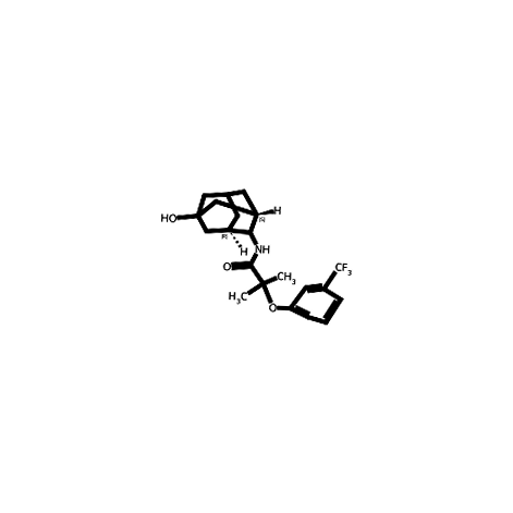 CC(C)(Oc1cccc(C(F)(F)F)c1)C(=O)NC1[C@@H]2CC3C[C@H]1CC(O)(C3)C2